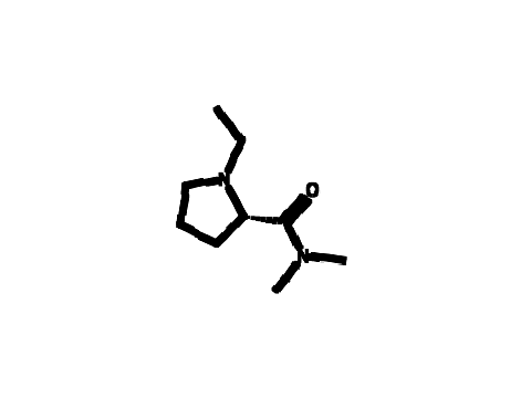 CCN1CCC[C@H]1C(=O)N(C)C